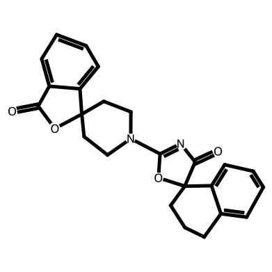 O=C1OC2(CCN(C3=NC(=O)C4(CCCc5ccccc54)O3)CC2)c2ccccc21